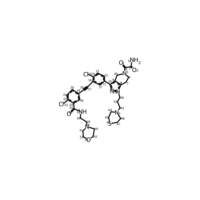 NC(=O)C(=O)N1CCc2c(c(-c3ccc(Cl)c(C#Cc4ccc(Cl)c(C(=O)NCCN5CCOCC5)c4)c3)nn2CCCN2CCSCC2)C1